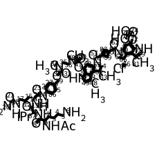 CC(=O)N[C@@H](CCCCN)C(=O)N[C@H](C(=O)N[C@@H](CCCNC(N)=O)C(=O)Nc1ccc(COC(=O)N(C)CCN(C)C(=O)Oc2cc3c(c4c(C)c[nH]c24)[C@H](C)CN3C(=O)C23CC(C(=O)N4C[C@@H](CCl)c5c4cc(OP(=O)(O)O)c4[nH]cc(C)c54)(C2)C3)cc1)C(C)C